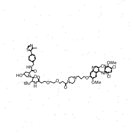 COc1cc(Nc2c(C#N)cnc3cc(OCCCN4CCN(C(=O)CCOCCOCCC(=O)NC(C(=O)N5CC(O)CC5C(=O)NCc5ccc(-c6scnc6C)cc5)C(C)(C)C)CC4)c(OC)cc23)c(Cl)cc1Cl